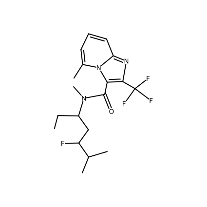 CCC(CC(F)C(C)C)N(C)C(=O)c1c(C(F)(F)F)nc2cccc(C)n12